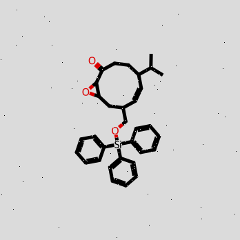 CC(C)C1C=CC(CO[Si](c2ccccc2)(c2ccccc2)c2ccccc2)CC2OC2C(=O)CC1